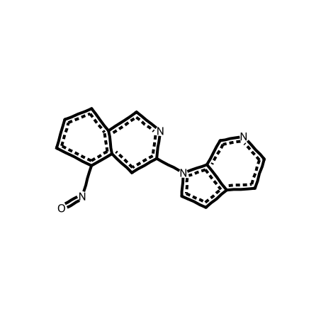 O=Nc1cccc2cnc(-n3ccc4ccncc43)cc12